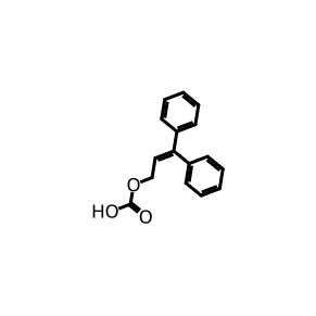 O=C(O)OCC=C(c1ccccc1)c1ccccc1